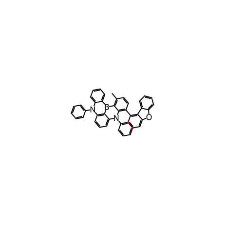 Cc1ccc(-c2cccc3oc4ccccc4c23)c2c1B1c3ccccc3N(c3ccccc3)c3cccc(c31)N2c1ccccc1